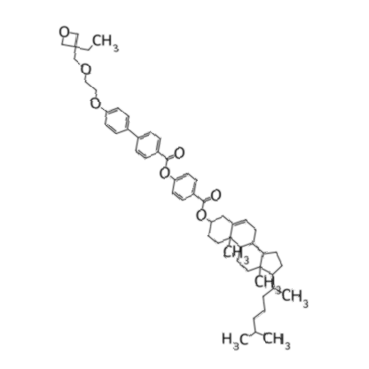 CCC1(COCCOc2ccc(-c3ccc(C(=O)Oc4ccc(C(=O)OC5CCC6(C)C(=CCC7C6CCC6(C)C(C(C)CCCC(C)C)CCC76)C5)cc4)cc3)cc2)COC1